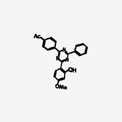 COc1ccc(-c2nc(-c3ccccc3)nc(-c3ccc(C(C)=O)cc3)n2)c(O)c1